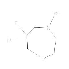 CC[C@@]1(F)COCCN(C(C)C)C1